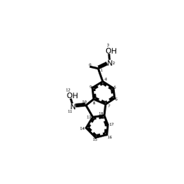 C/C(=N\O)c1ccc2c(c1)/C(=N\O)c1ccccc1-2